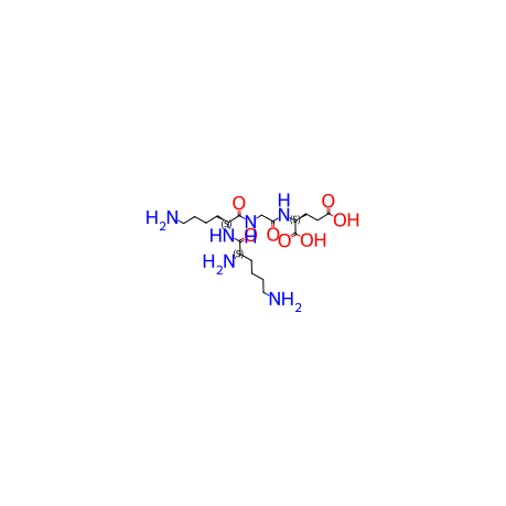 NCCCC[C@H](NC(=O)[C@@H](N)CCCCN)C(=O)NCC(=O)N[C@@H](CCC(=O)O)C(=O)O